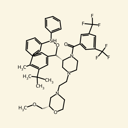 COC[C@@H]1CN(CCN2CCN(C(=O)c3cc(C(F)(F)F)cc(C(F)(F)F)c3)[C@@H](C(O[SiH](c3ccccc3)c3ccccc3)c3ccc(C)c(C(C)(C)C)c3)C2)CCO1